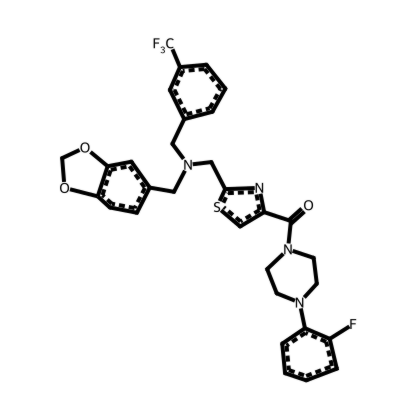 O=C(c1csc(CN(Cc2cccc(C(F)(F)F)c2)Cc2ccc3c(c2)OCO3)n1)N1CCN(c2ccccc2F)CC1